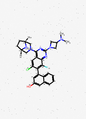 CN(C)C1CN(c2nc(N3C[C@H]4CC[C@@H](C3)N4C)c3cc(Cl)c(-c4cc(O)cc5ccccc45)c(F)c3n2)C1